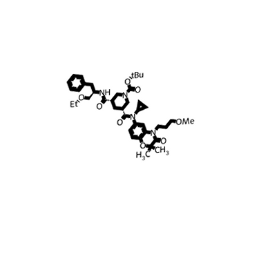 CCOC[C@@H](Cc1ccccc1)NC(=O)[C@H]1C[C@@H](C(=O)N(c2ccc3c(c2)N(CCCOC)C(=O)C(C)(C)O3)C2CC2)CN(C(=O)OC(C)(C)C)C1